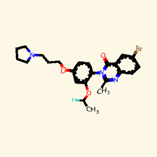 Cc1nc2ccc(Br)cc2c(=O)n1-c1ccc(OCCCN2CCCC2)cc1OC(C)F